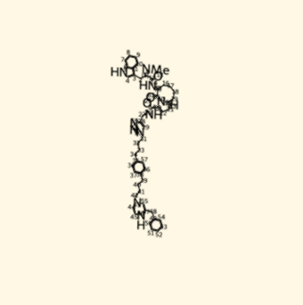 CN[C@@H](Cc1c[nH]c2ccccc12)C(=O)N[C@H]1CCCC[C@H]2CC[C@@H](C(=O)NCc3cn(CCCCc4ccc(CCCCN5C=CNC(Cc6ccccc6)=C5)cc4)nn3)N2C1=O